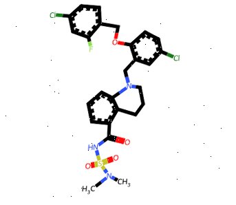 CN(C)S(=O)(=O)NC(=O)c1cccc2c1CCCN2Cc1cc(Cl)ccc1OCc1ccc(Cl)cc1F